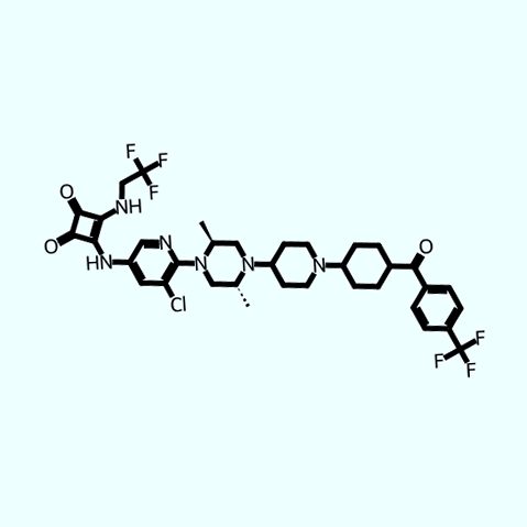 C[C@@H]1CN(c2ncc(Nc3c(NCC(F)(F)F)c(=O)c3=O)cc2Cl)[C@@H](C)CN1C1CCN(C2CCC(C(=O)c3ccc(C(F)(F)F)cc3)CC2)CC1